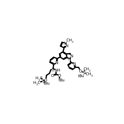 Cn1ccc(-c2cc(-c3cccc([C@H](CCCO[Si](C)(C)C(C)(C)C)NC(=O)OC(C)(C)C)n3)cc3c2cnn3-c2cccc(CO[Si](C)(C)C(C)(C)C)n2)n1